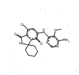 COc1c(N)ncnc1Nc1cc(Cl)c2n(c1=O)C1(CCCCC1)NC2=O